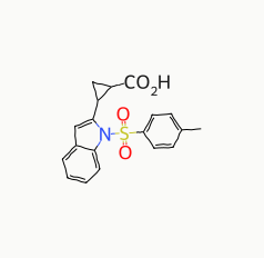 Cc1ccc(S(=O)(=O)n2c(C3CC3C(=O)O)cc3ccccc32)cc1